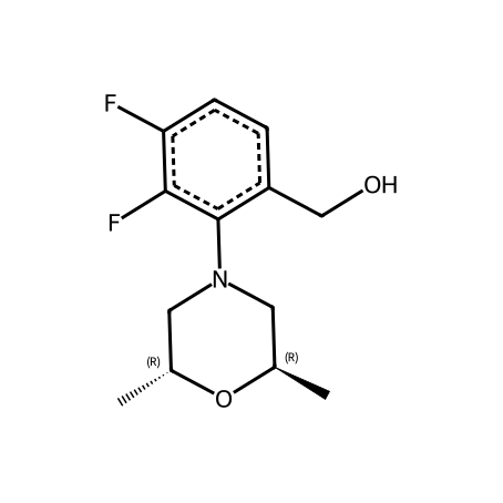 C[C@@H]1CN(c2c(CO)ccc(F)c2F)C[C@@H](C)O1